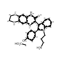 CC(=O)O.NCCCn1c(-c2ccc(Cl)cc2)c(-c2nc3cc4c(cc3[nH]c2=O)OCCO4)c2ccccc21